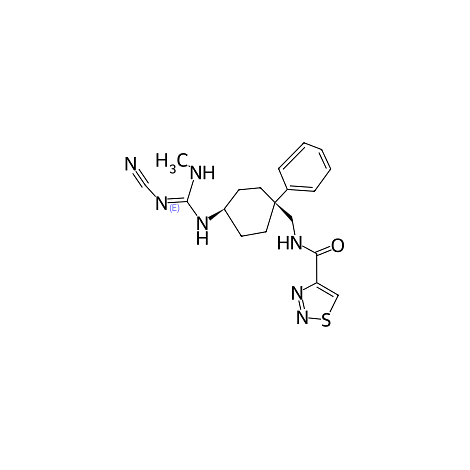 CN/C(=N\C#N)N[C@H]1CC[C@](CNC(=O)c2csnn2)(c2ccccc2)CC1